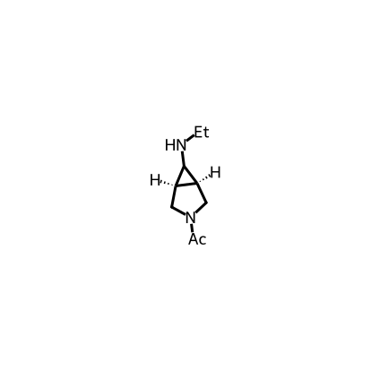 CCNC1[C@H]2CN(C(C)=O)C[C@@H]12